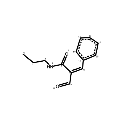 CCCNC(=O)C([C]=O)=Cc1ccccc1